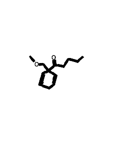 CCCCC(=O)C1(COC)C=CCC=C1